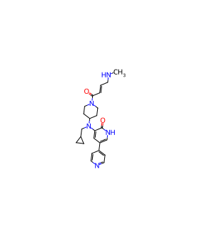 CNC/C=C/C(=O)N1CCC(N(CC2CC2)c2cc(-c3ccncc3)c[nH]c2=O)CC1